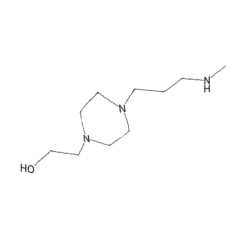 CNCCCN1CCN(CCO)CC1